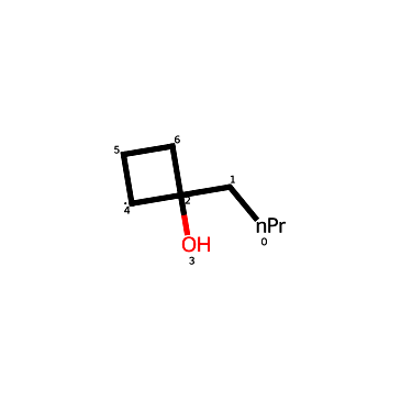 CCCCC1(O)[CH]CC1